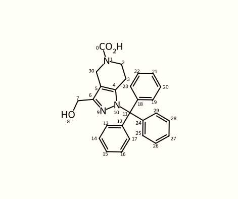 O=C(O)N1CCc2c(c(CO)nn2C(c2ccccc2)(c2ccccc2)c2ccccc2)C1